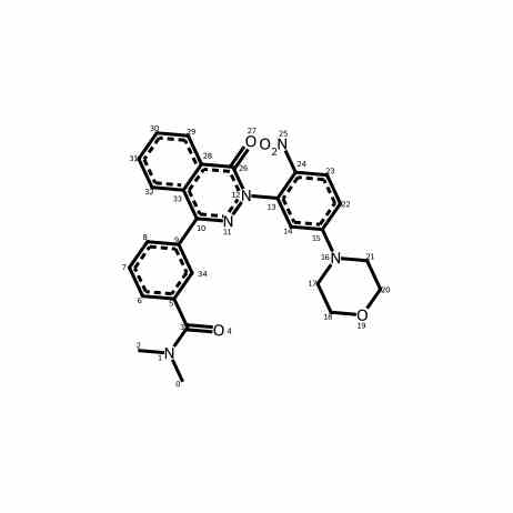 CN(C)C(=O)c1cccc(-c2nn(-c3cc(N4CCOCC4)ccc3[N+](=O)[O-])c(=O)c3ccccc23)c1